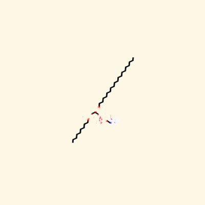 CCCCCCCCCCCCCCCCCCCC(=O)OC(COC(=O)CCCCCCCCC)COP(=O)(O)OCC[N+](C)(C)C